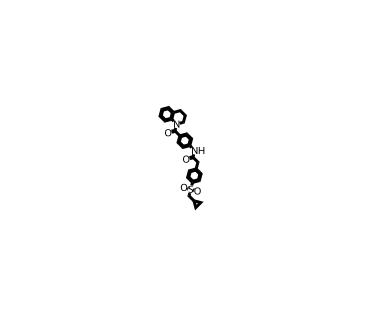 O=C(Cc1ccc(S(=O)(=O)CC2CC2)cc1)Nc1ccc(C(=O)N2CCCc3ccccc32)cc1